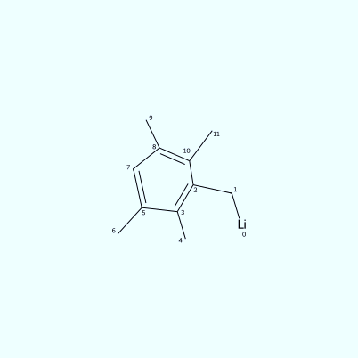 [Li][CH2]c1c(C)c(C)cc(C)c1C